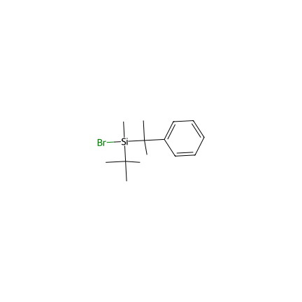 CC(C)(C)[Si](C)(Br)C(C)(C)c1ccccc1